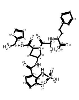 C[C@H](N[C@@H](CCc1ccccc1)C(=O)O)C(=O)N1C[C@@H](NC(=O)c2cccc(Cl)c2NS(=O)(=O)O)CC1C(=O)O.NCc1ccco1